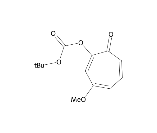 COc1cccc(=O)c(OC(=O)OC(C)(C)C)c1